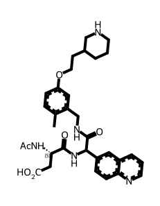 CC(=O)N[C@@H](CC(=O)O)C(=O)NC(C(=O)NCc1cc(OCCC2CCCNC2)ccc1C)c1ccc2ncccc2c1